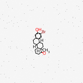 C[C@]12CC[C@@H]3c4cc(Br)c(O)cc4CC[C@H]3[C@@H]1CCCC2=O